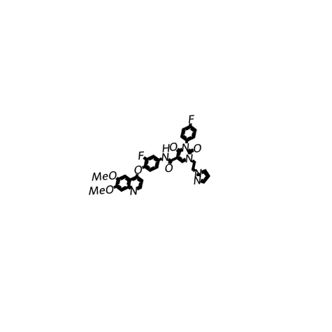 COc1cc2nccc(Oc3ccc(NC(=O)c4cn(CCn5cccn5)c(=O)n(-c5ccc(F)cc5)c4=O)cc3F)c2cc1OC